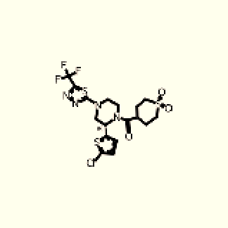 O=C(C1CCS(=O)(=O)CC1)N1CCN(c2nnc(C(F)(F)F)s2)C[C@@H]1c1ccc(Cl)s1